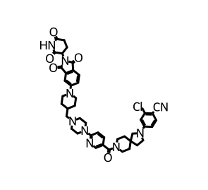 N#Cc1ccc(N2CCC3(CCN(C(=O)c4ccc(N5CCN(CC6CCN(c7ccc8c(c7)C(=O)N(C7CCC(=O)NC7=O)C8=O)CC6)CC5)nc4)CC3)C2)cc1Cl